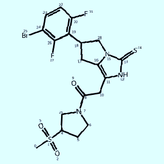 CS(=O)(=O)C1CCN(C(=O)Cc2[nH]c(=S)n3c2CC(c2c(F)ccc(Br)c2F)C3)C1